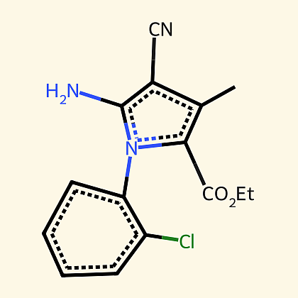 CCOC(=O)c1c(C)c(C#N)c(N)n1-c1ccccc1Cl